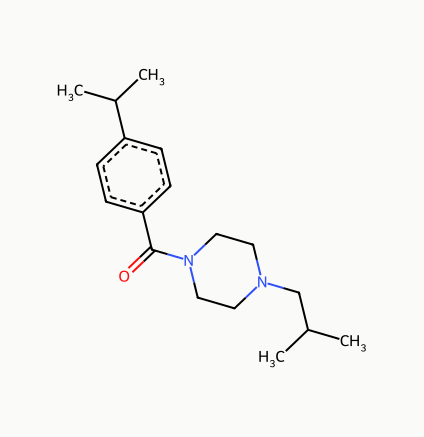 CC(C)CN1CCN(C(=O)c2ccc(C(C)C)cc2)CC1